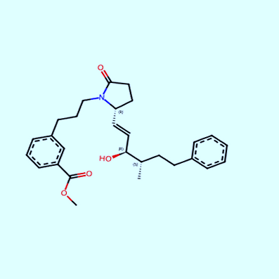 COC(=O)c1cccc(CCCN2C(=O)CC[C@@H]2C=C[C@H](O)[C@@H](C)CCc2ccccc2)c1